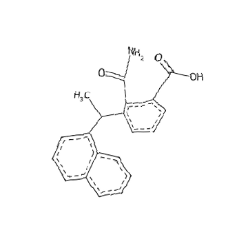 CC(c1cccc(C(=O)O)c1C(N)=O)c1cccc2ccccc12